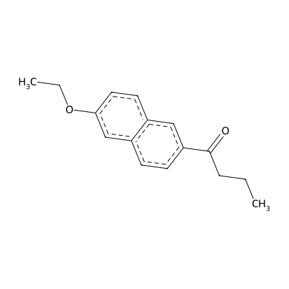 CCCC(=O)c1ccc2cc(OCC)ccc2c1